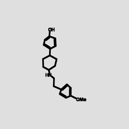 COc1ccc(CCNC2CCC(c3ccc(O)cc3)CC2)cc1